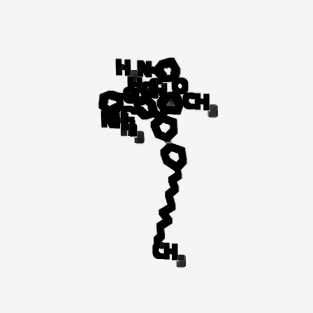 CCCCCCCCCCC[C@H]1CC[C@H](C2CCC(c3cc(C)c(Oc4cccc(N)c4)c(C)c3)(c3cc(C)c(Oc4cccc(N)c4)c(C)c3)CC2)CC1